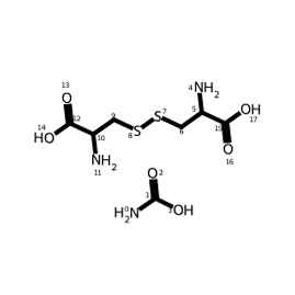 NC(=O)O.NC(CSSCC(N)C(=O)O)C(=O)O